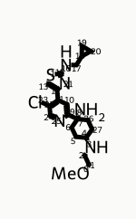 COCCNC1CCC(N)(c2cc(-c3csc(NCC4CC4)n3)c(Cl)cn2)CC1